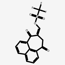 O=C1C/C(=C/OS(=O)(=O)C(F)(F)F)C(=O)c2cccc3cccc1c23